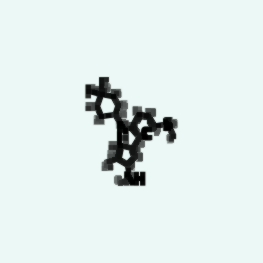 CNC1C=C(c2cc(SC)ccc2NC2CCC(F)(F)CC2)C=C1C